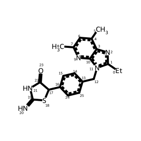 CCc1nc2c(C)cc(C)nc2n1Cc1ccc(C2SC(=N)NC2=O)cc1